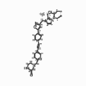 C[C@H](OC1CCCCO1)c1nccn1Cc1cc(-c2ccc(C#Cc3ccc(CN4CCNC(=O)C4)nc3)cc2)on1